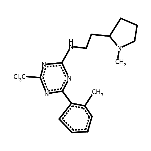 Cc1ccccc1-c1nc(NCCC2CCCN2C)nc(C(Cl)(Cl)Cl)n1